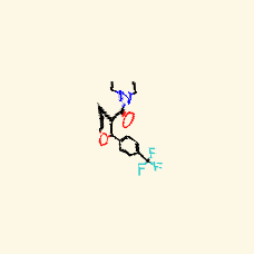 CCN(CC)C(=O)c1ccoc1-c1ccc(C(F)(F)F)cc1